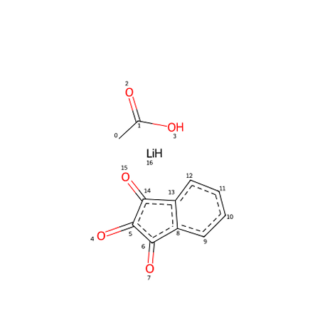 CC(=O)O.O=c1c(=O)c2ccccc2c1=O.[LiH]